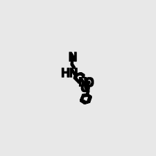 N#CCCNC1CCN(C(=O)OCc2ccccc2)CC1